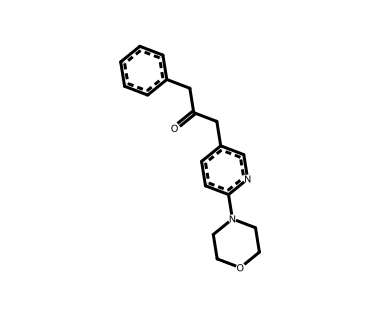 O=C(Cc1ccccc1)Cc1ccc(N2CCOCC2)nc1